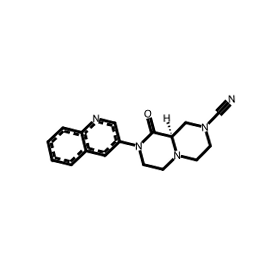 N#CN1CCN2CCN(c3cnc4ccccc4c3)C(=O)[C@H]2C1